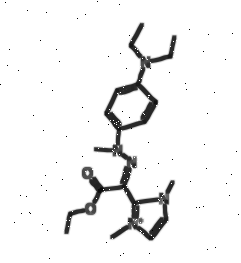 CCOC(=O)/C(=N\N(C)c1ccc(N(CC)CC)cc1)c1n(C)cc[n+]1C